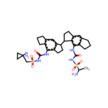 CC(N)S(=O)(=O)NC(=O)Nc1c2c(cc3c1C(C1CCc4c1cc1c(c4NC(=O)NS(=O)(=O)CC4(N)CC4)CCC1)CC3)CCC2